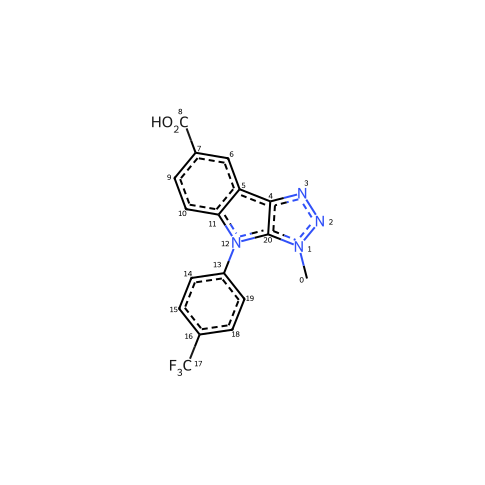 Cn1nnc2c3cc(C(=O)O)ccc3n(-c3ccc(C(F)(F)F)cc3)c21